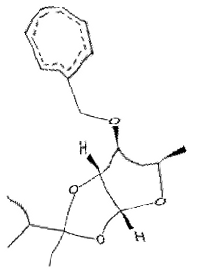 CC(C)C1(C)O[C@H]2O[C@H](C)[C@H](OCc3ccccc3)[C@H]2O1